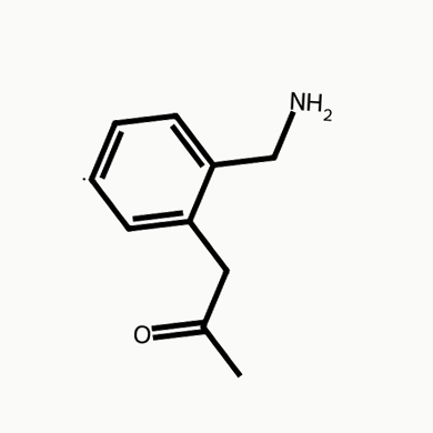 CC(=O)Cc1c[c]ccc1CN